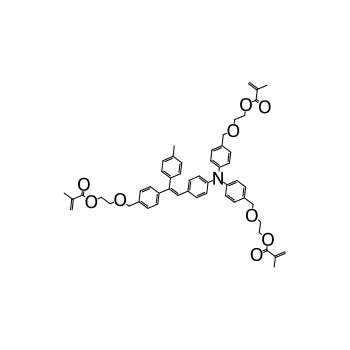 C=C(C)C(=O)OCCOCc1ccc(C(=Cc2ccc(N(c3ccc(COCCOC(=O)C(=C)C)cc3)c3ccc(COCCOC(=O)C(=C)C)cc3)cc2)c2ccc(C)cc2)cc1